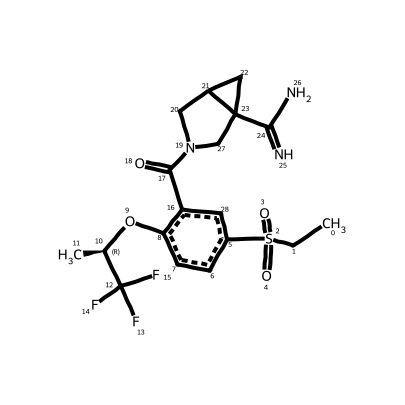 CCS(=O)(=O)c1ccc(O[C@H](C)C(F)(F)F)c(C(=O)N2CC3CC3(C(=N)N)C2)c1